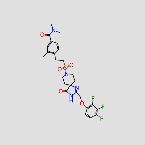 Cc1cc(C(=O)N(C)C)ccc1CCS(=O)(=O)N1CCC2(CC1)N=C(COc1ccc(F)c(F)c1F)NC2=O